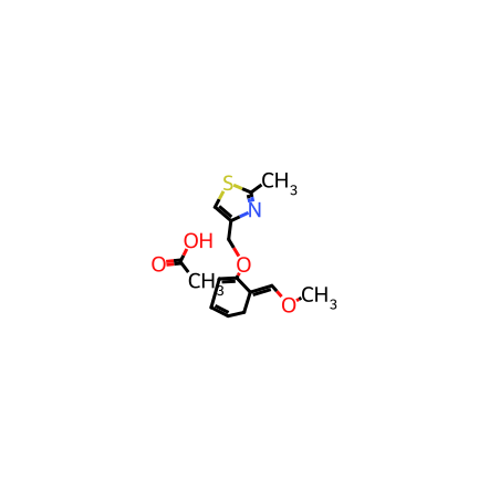 CC(=O)O.COC=C1CC=CC=C1OCc1csc(C)n1